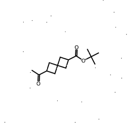 CC(=O)C1CC2(C1)CC(C(=O)OC(C)(C)C)C2